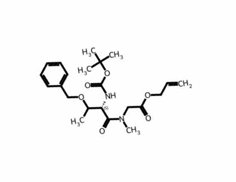 C=CCOC(=O)CN(C)C(=O)[C@@H](NC(=O)OC(C)(C)C)C(C)OCc1ccccc1